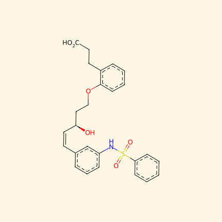 O=C(O)CCc1ccccc1OCC[C@@H](O)/C=C\c1cccc(NS(=O)(=O)c2ccccc2)c1